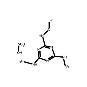 CCCNc1nc(NCCC)nc(NOC(C)C)n1.O=S(=O)(O)O